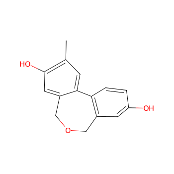 Cc1cc2c(cc1O)COCc1cc(O)ccc1-2